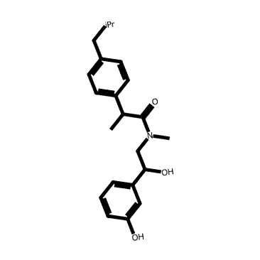 CC(C)Cc1ccc(C(C)C(=O)N(C)CC(O)c2cccc(O)c2)cc1